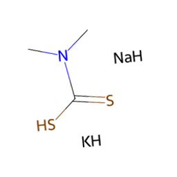 CN(C)C(=S)S.[KH].[NaH]